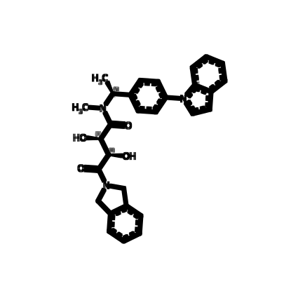 C[C@@H](c1ccc(-n2ccc3ccccc32)cc1)N(C)C(=O)[C@H](O)[C@@H](O)C(=O)N1Cc2ccccc2C1